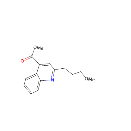 COCCCc1cc(C(=O)OC)c2ccccc2n1